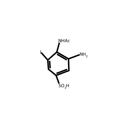 CC(=O)Nc1c(N)cc(S(=O)(=O)O)cc1I